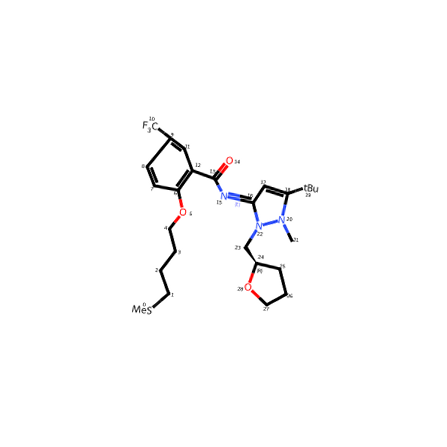 CSCCCCOc1ccc(C(F)(F)F)cc1C(=O)/N=c1\cc(C(C)(C)C)n(C)n1C[C@H]1CCCO1